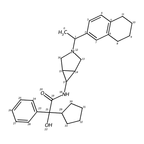 CC(c1ccc2c(c1)CCCC2)N1CC2C(C1)C2NC(=O)C(O)(c1ccccc1)C1CCCC1